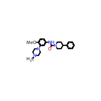 COc1ccc(NC(=O)N2CCC(c3ccccc3)CC2)cc1N1CCN(C)CC1